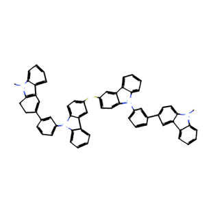 Cn1c2c(c3ccccc31)C=C(c1cccc(-n3c4ccccc4c4cc(Sc5ccc6c(c5)c5ccccc5n6-c5cccc(-c6ccc7c(c6)c6ccccc6n7C)c5)ccc43)c1)CC2